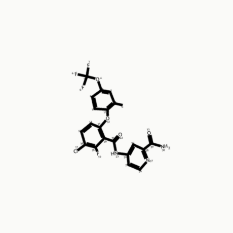 Cc1cc(OC(F)(F)F)ccc1Oc1ccc(Cl)c(F)c1C(=O)Nc1ccnc(C(N)=O)c1